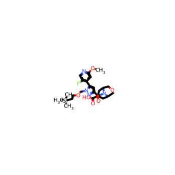 COc1cc(-c2cc(C(=O)N3C4COCC3CC(C(=O)O)C4)nn2COCC[Si](C)(C)C)c(F)cn1